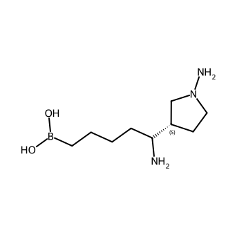 NC(CCCCB(O)O)[C@H]1CCN(N)C1